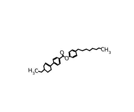 CCCCCCCCc1ccc(OC(=O)c2ccc(C3=CCC(CC)CC3)cc2)cc1